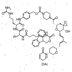 CC(=O)O[C@@H](C)/C=C\C(=O)N[C@@H]1C[C@H](C)[C@H](C/C=C(C)/C=C/[C@H]2O[C@H](CC(=O)N3CCN(C(=O)OCc4ccc(NC(=O)[C@H](CCCNC(N)=O)NC(=O)[C@@H](NC(=O)CCCCCNC(=O)OCC5c6ccccc6-c6ccccc65)C(C)C)cc4)CC3)C[C@@]3(CO3)[C@@H]2O)O[C@@H]1C